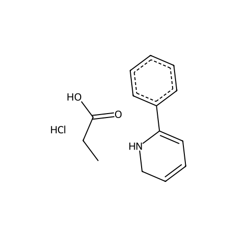 C1=CCNC(c2ccccc2)=C1.CCC(=O)O.Cl